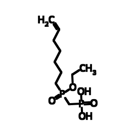 C=CCCCCCP(=O)(CP(=O)(O)O)OCC